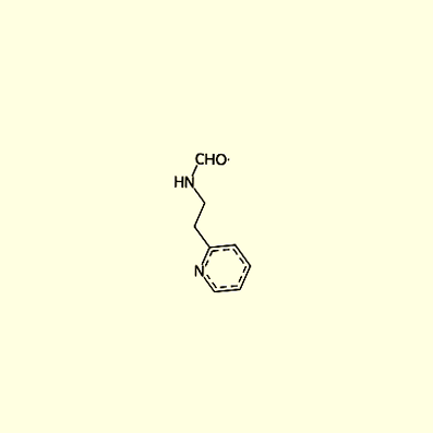 O=[C]NCCc1ccccn1